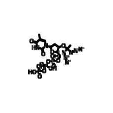 Cc1cn([C@H]2CC(OC(C)(N=[N+]=[N-])N=[N+]=[N-])[C@@H](COP(=O)(O)OP(=O)(O)OP(=O)(O)O)O2)c(=O)[nH]c1=O